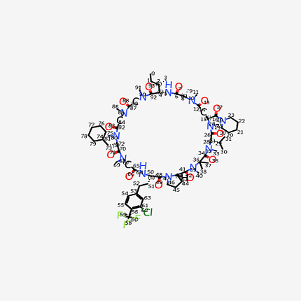 CC[C@H](C)[C@@H]1NC(=O)[C@H](C)N(C)C(=O)C[C@@H](C(=O)N2CCCCC2)N(C)C(=O)[C@H](C(C)C)N(C)C(=O)C(C)(C)N(C)C(=O)[C@@H]2CCCN2C(=O)[C@H](CCc2ccc(C(F)(F)F)c(Cl)c2)NC(=O)CN(C)C(=O)[C@H](CC2CCCCC2)N(C)C(=O)CN(C)C(=O)CN(C)C1=O